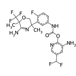 CC1(c2cc(NC(=O)Oc3ncc(C(F)F)cc3N)ccc2F)COC(C)(C(F)(F)F)C(N)=N1